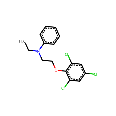 CCN(CCOc1c(Cl)cc(Cl)cc1Cl)c1ccccc1